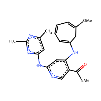 CNC(=O)c1cnc(Nc2cc(C)nc(C)n2)cc1NC1=CC=CC=C(OC)C1